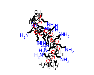 C[SiH](CCCN)O[Si](C)(CCCN)O[Si](C)(CCCN)O[Si](C)(CCCN)O[Si](C)(CCCN)O[Si](C)(CCCN)O[Si](C)(CCCN)O[Si](C)(CCCN)O[Si](C)(CCCN)O[Si](C)(CCCN)O[Si](C)(CCCN)O[Si](C)(CCCN)O[Si](C)(CCCN)O[Si](C)(C)C